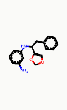 Nc1cccc(NC(Cc2ccccc2)C2=COCO2)c1